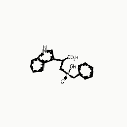 O=C(O)C(CP(=O)(O)Cc1ccccc1)c1c[nH]c2ccccc12